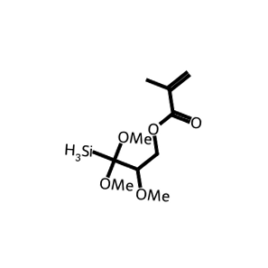 C=C(C)C(=O)OCC(OC)C([SiH3])(OC)OC